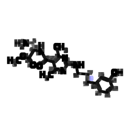 COC(=O)[C@H](CN)NC(=O)c1c(C)nc(NC/C=C/c2cccc(O)c2)nc1C